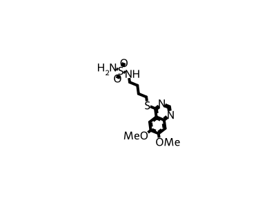 COc1cc2ncnc(SCCCCNS(N)(=O)=O)c2cc1OC